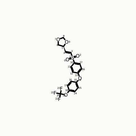 O=S(=O)(C=C[C@H]1COCO1)c1ccc(Oc2ccc(OC(F)(F)F)cc2)cc1